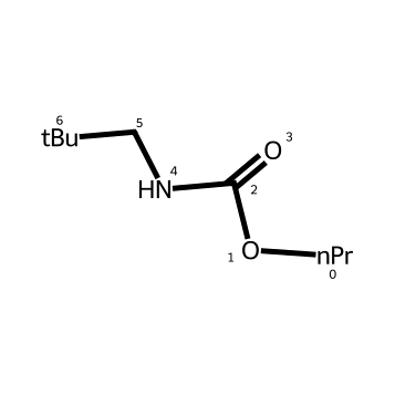 CCCOC(=O)NCC(C)(C)C